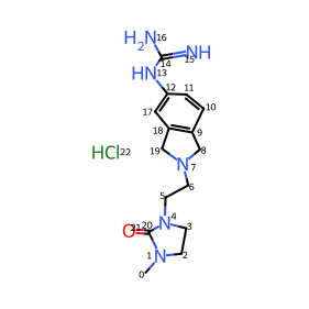 CN1CCN(CCN2Cc3ccc(NC(=N)N)cc3C2)C1=O.Cl